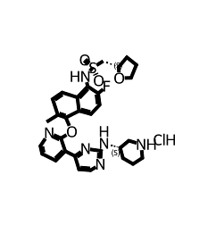 Cc1ccc2c(NS(=O)(=O)C[C@@H]3CCCO3)c(F)ccc2c1Oc1ncccc1-c1ccnc(N[C@H]2CCCNC2)n1.Cl